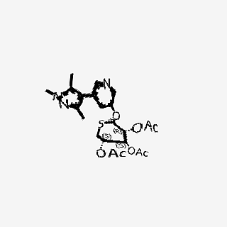 CC(=O)O[C@@H]1[C@@H](OC(C)=O)[C@H](OC(C)=O)CS[C@H]1Oc1cncc(-c2c(C)nn(C)c2C)c1